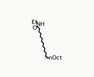 CCCCCCCC/C=C\CCCCCCCCCCCC(=O)NCC